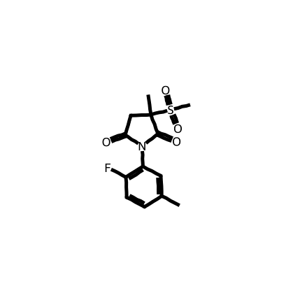 Cc1ccc(F)c(N2C(=O)CC(C)(S(C)(=O)=O)C2=O)c1